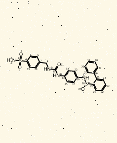 NS(=O)(=O)c1ccc(CNC(=O)Nc2ccc(N[S+]([O-])c3ccccc3-c3ccccc3)cc2)cc1